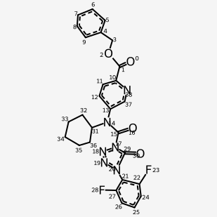 O=C(OCc1ccccc1)c1ccc(N(C(=O)n2nnn(-c3c(F)cccc3F)c2=O)C2CCCCC2)cn1